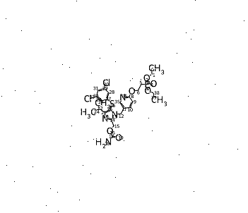 CCOP(=O)(CCOc1ccc(Cn2c(COC(N)=O)nc(C(C)C)c2Sc2cc(Cl)cc(Cl)c2)cn1)OCC